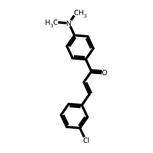 CN(C)c1ccc(C(=O)/C=C/c2cccc(Cl)c2)cc1